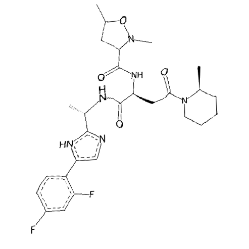 CC1CC(C(=O)N[C@@H](CC(=O)N2CCCC[C@@H]2C)C(=O)N[C@@H](C)c2ncc(-c3ccc(F)cc3F)[nH]2)N(C)O1